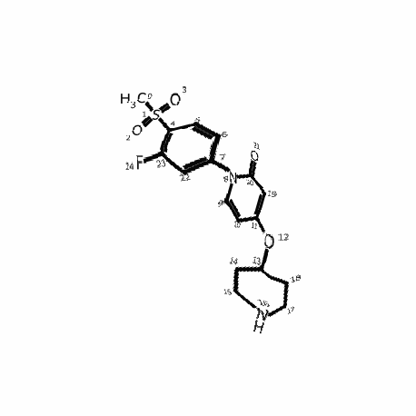 CS(=O)(=O)c1ccc(-n2ccc(OC3CCNCC3)cc2=O)cc1F